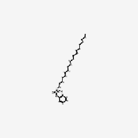 CCCCCCCCCCCCCCCCCCCCOP(=O)(O)Oc1ccccc1